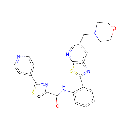 O=C(Nc1ccccc1-c1nc2cc(CN3CCOCC3)cnc2s1)c1csc(-c2ccncc2)n1